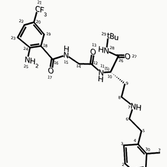 Cc1ccc(CCNCC[C@H](NC(=O)CNC(=O)c2cc(C(F)(F)F)ccc2N)C(=O)NC(C)(C)C)c(C)c1